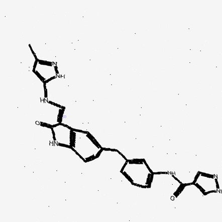 Cc1cc(N/C=C2\C(=O)Nc3ccc(Cc4cccc(NC(=O)c5cn[nH]c5)c4)cc32)[nH]n1